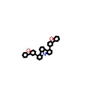 c1ccc2c(c1)oc1ccc(-c3cccc4c3c3cccc5c6c(-c7ccc8oc9ccccc9c8c7)cccc6n4c35)cc12